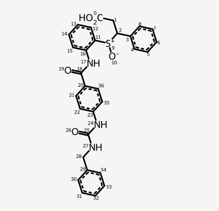 O=C(O)CC(c1ccccc1)[S+]([O-])c1ccccc1NC(=O)c1ccc(NC(=O)NCc2ccccc2)cc1